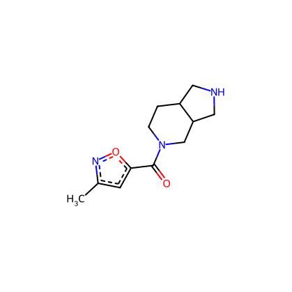 Cc1cc(C(=O)N2CCC3CNCC3C2)on1